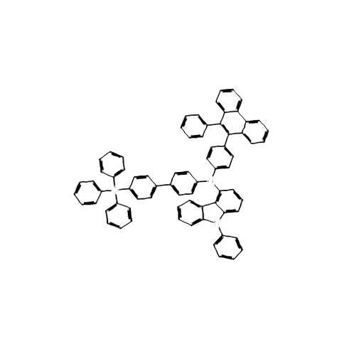 c1ccc(-c2c(-c3ccc(N(c4ccc(-c5ccc([Si](c6ccccc6)(c6ccccc6)c6ccccc6)cc5)cc4)c4cccc5c4c4ccccc4n5-c4ccccc4)cc3)c3ccccc3c3ccccc23)cc1